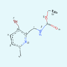 Cc1ccc(Br)c(CNC(=O)OC(C)(C)C)n1